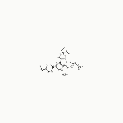 CCC1(CC)CC=C(c2cc(N3CCC(OC)CC3)ccc2N2CCN(CC3CC3)CC2)CC1.Cl